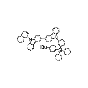 CCC(C)c1ccc([Si](c2ccccc2)(c2ccccc2)c2cccc(-n3c4ccccc4c4cc(-c5ccc6c(c5)c5ccccc5n6-c5cccc6ccccc56)ccc43)c2)cc1